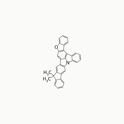 CC1(C)c2ccccc2-c2cc3c(cc21)c1cc2oc4ccccc4c2c2c4ccccc4n3c12